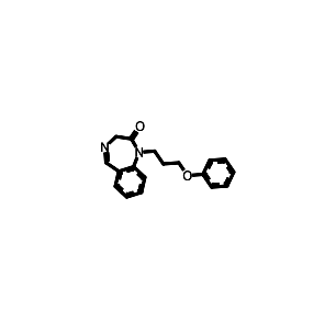 O=C1CN=Cc2ccccc2N1CCCOc1ccccc1